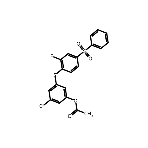 CC(=O)Oc1cc(Cl)cc(Sc2ccc(S(=O)(=O)c3ccccc3)cc2F)c1